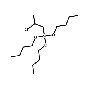 CCCCO[Si](CC(C)Cl)(OCCCC)OCCCC